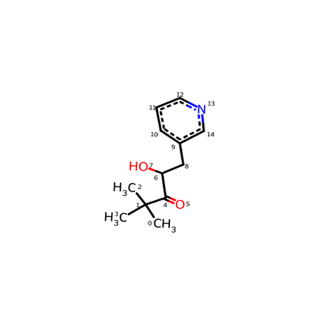 CC(C)(C)C(=O)C(O)Cc1cccnc1